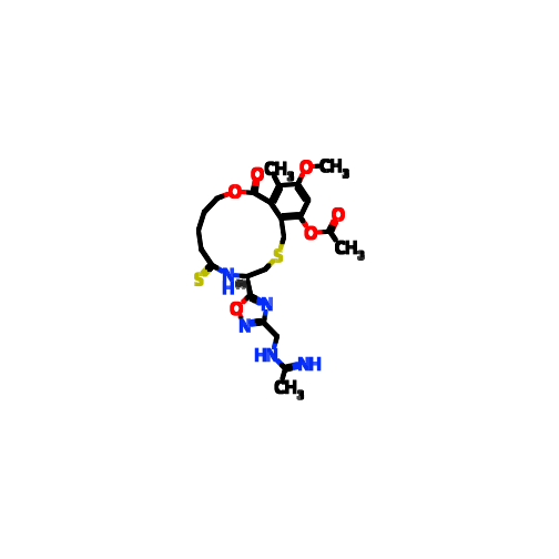 COc1cc(OC(C)=O)c2c(c1C)C(=O)OCCCCC(=S)N[C@H](c1nc(CNC(C)=N)no1)CSC2